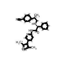 Cc1n[nH]c(C)c1-c1ccc(NC(=O)[C@@H](NC[C@@H](C)c2ccc(C#N)cc2)c2ccccc2)nc1